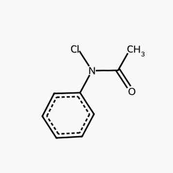 CC(=O)N(Cl)c1ccccc1